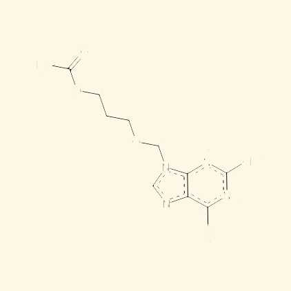 CC(=O)OCCCOCn1cnc2c(Cl)nc(Cl)nc21